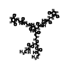 CCNC(=O)OCC(COC(=O)NCC)OCCCC(=O)NC(CC(=O)NCCNC(=O)CCN1C(=O)C=CC1=O)CC(=O)NCCNC(=O)CCN1C(=O)C=CC1=O